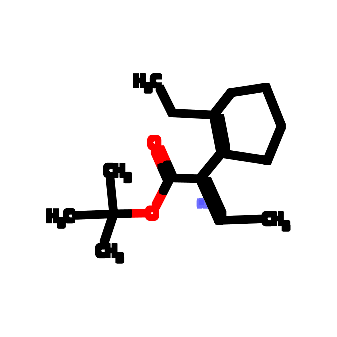 C/C=C(/C(=O)OC(C)(C)C)C1=C(CC)CCCC1